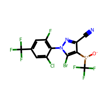 N#Cc1nn(-c2c(F)cc(C(F)(F)F)cc2Cl)c(Br)c1[S+]([O-])C(F)(F)F